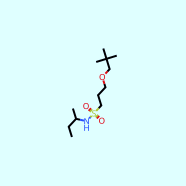 CCC(C)NS(=O)(=O)CCCOCC(C)(C)C